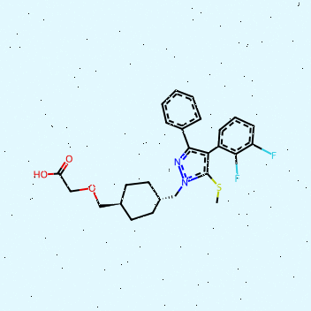 CSc1c(-c2cccc(F)c2F)c(-c2ccccc2)nn1C[C@H]1CC[C@H](COCC(=O)O)CC1